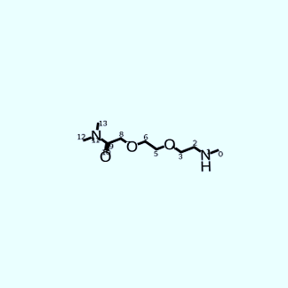 CNCCOCCOCC(=O)N(C)C